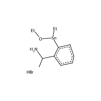 Br.CC[O][Sn]([CH2]C)[c]1ccccc1C(C)N